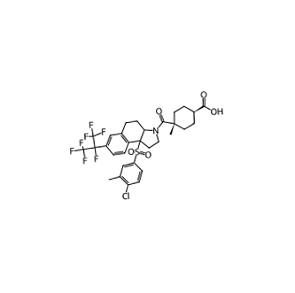 Cc1cc(S(=O)(=O)C23CCN(C(=O)[C@]4(C)CC[C@@H](C(=O)O)CC4)C2CCc2cc(C(F)(C(F)(F)F)C(F)(F)F)ccc23)ccc1Cl